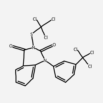 O=c1c2ccccc2n(-c2cccc(C(Cl)(Cl)Cl)c2)c(=O)n1SC(Cl)(Cl)Cl